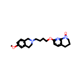 COc1ccc2c(c1)CCN(CCCCOc1ccc3c(n1)[N+](=O)CCC3)C2